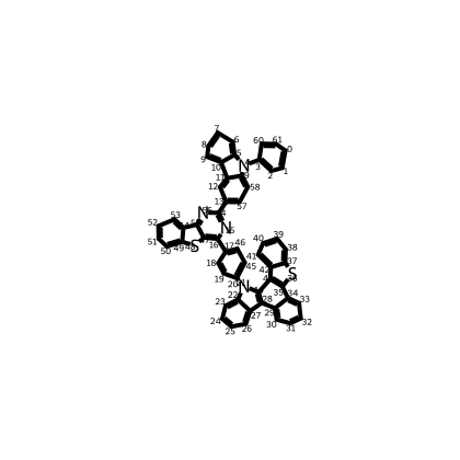 c1ccc(-n2c3ccccc3c3cc(-c4nc(-c5ccc(-n6c7ccccc7c7c8ccccc8c8sc9ccccc9c8c76)cc5)c5sc6ccccc6c5n4)ccc32)cc1